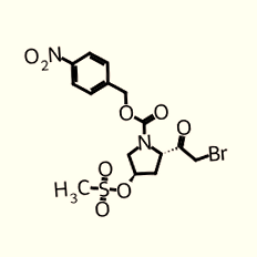 CS(=O)(=O)O[C@@H]1C[C@@H](C(=O)CBr)N(C(=O)OCc2ccc([N+](=O)[O-])cc2)C1